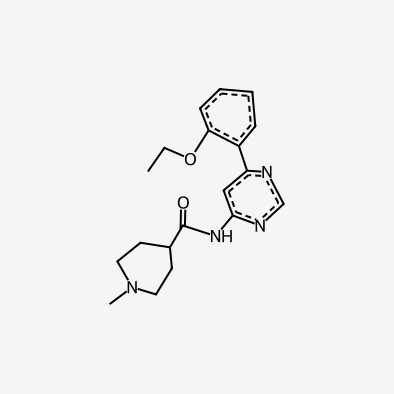 CCOc1ccccc1-c1cc(NC(=O)C2CCN(C)CC2)ncn1